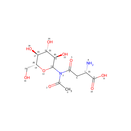 CC(=O)N(C(=O)C[C@H](N)C(=O)O)C1O[C@H](CO)[C@@H](O)[C@H](O)[C@H]1O